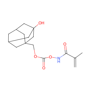 C=C(C)C(=O)NOC(=O)OCC12CC3CC(CC(O)(C3)C1)C2